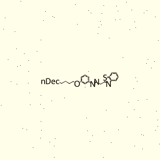 CCCCCCCCCCCCCCOc1cccc(N=NCc2nc3ccccc3s2)c1